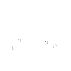 CCN(C)CC1CCN1C(=O)N(C)C(C)C